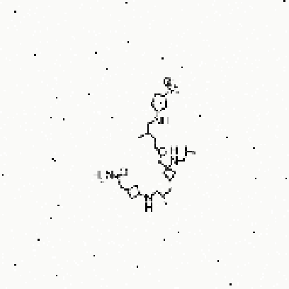 CC(C)CNC1(COCCC(C)CNC2CCC([S+](C)[O-])C2)CC(CC(C)CNC2CC(CC(N)=O)C2)C1